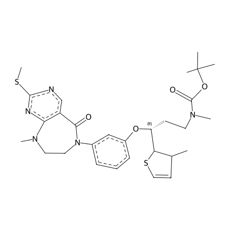 CSc1ncc2c(n1)N(C)CCN(c1cccc(O[C@H](CCN(C)C(=O)OC(C)(C)C)C3SC=CC3C)c1)C2=O